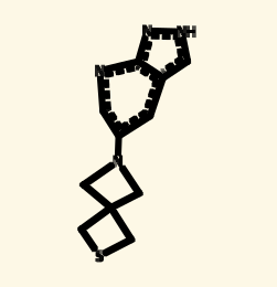 c1nc2n[nH]cc2cc1N1CC2(CSC2)C1